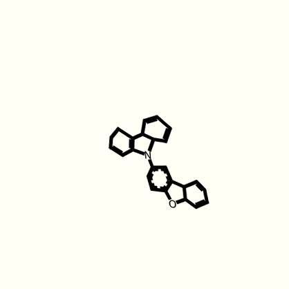 C1=CC2Oc3ccc(N4C5=C(CCC=C5)C5C=CC=CC54)cc3C2C=C1